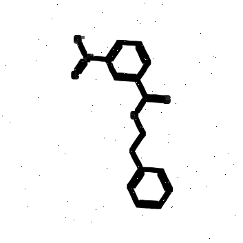 O=C(OCCc1ccccc1)c1cccc([N+](=O)[O-])c1